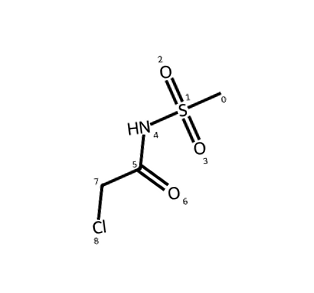 CS(=O)(=O)NC(=O)CCl